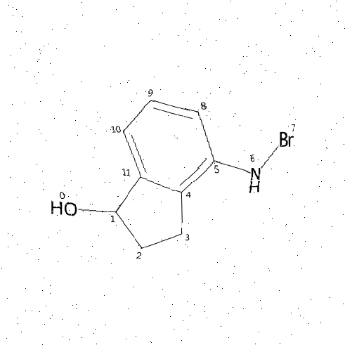 OC1CCc2c(NBr)cccc21